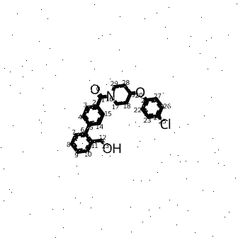 O=C(c1ccc(-c2ccccc2CO)cc1)N1CCC(Oc2ccc(Cl)cc2)CC1